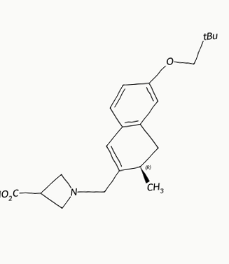 C[C@@H]1Cc2cc(OCC(C)(C)C)ccc2C=C1CN1CC(C(=O)O)C1